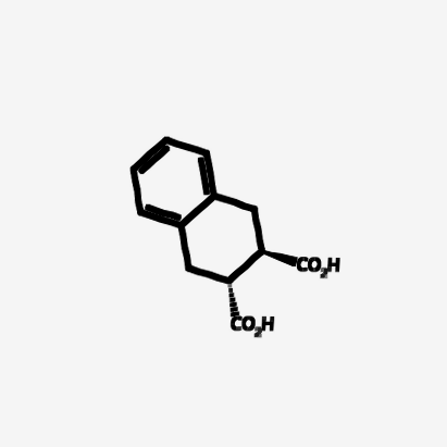 O=C(O)[C@@H]1Cc2ccccc2C[C@H]1C(=O)O